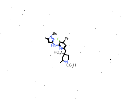 CCc1cc(CC2(C(=O)O)CCN(C(=O)O)C(C)C2)nc(Nc2cc(C)n(C(C)(C)C)n2)c1F